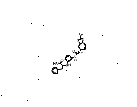 O=C(Nc1cccc(NC(Cc2ccccc2)C(=O)O)c1)Nc1ccc2nc(S)sc2c1